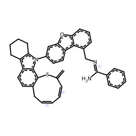 C=C1/C=C\C=C/Cc2ccc3c4c(n(-c5ccc6c(c5)oc5cccc(C/N=C(\N)c7ccccc7)c56)c3c2S1)CCCC4